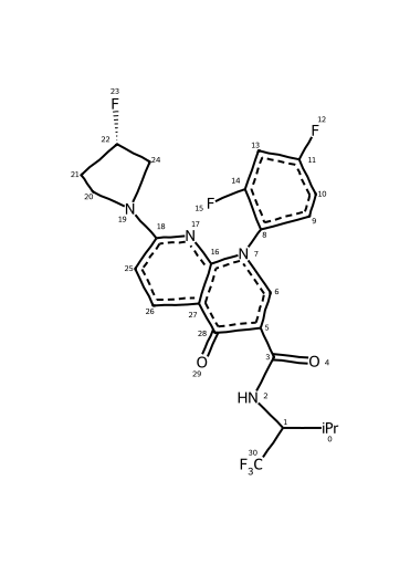 CC(C)C(NC(=O)c1cn(-c2ccc(F)cc2F)c2nc(N3CC[C@H](F)C3)ccc2c1=O)C(F)(F)F